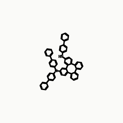 c1ccc(-c2ccc(Nc3ccc4c(c3)-c3cc(N(c5ccc(-c6ccccc6)cc5)c5ccc(-c6ccccc6)cc5)ccc3-c3ccccc3-c3ccccc3-4)cc2)cc1